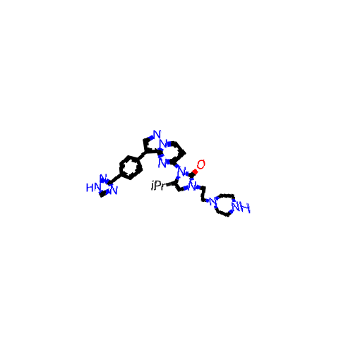 CC(C)C1CN(CCN2CCNCC2)C(=O)N1c1ccn2ncc(-c3ccc(-c4nc[nH]n4)cc3)c2n1